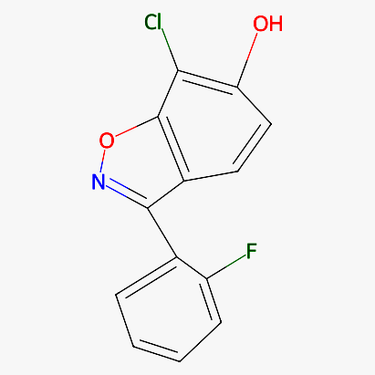 Oc1ccc2c(-c3ccccc3F)noc2c1Cl